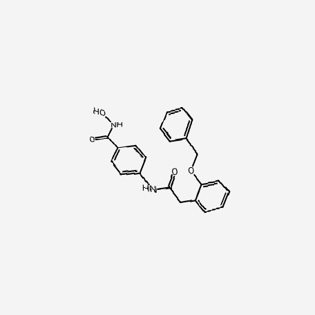 O=C(Cc1ccccc1OCc1ccccc1)Nc1ccc(C(=O)NO)cc1